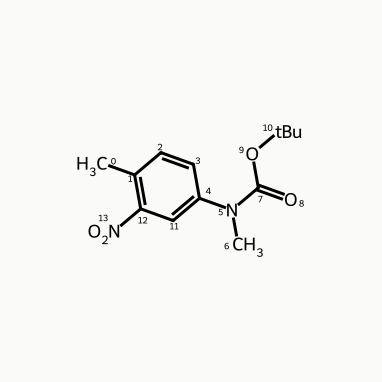 Cc1ccc(N(C)C(=O)OC(C)(C)C)cc1[N+](=O)[O-]